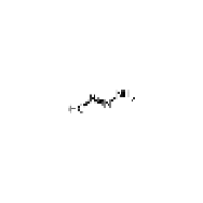 [CH]N=NN